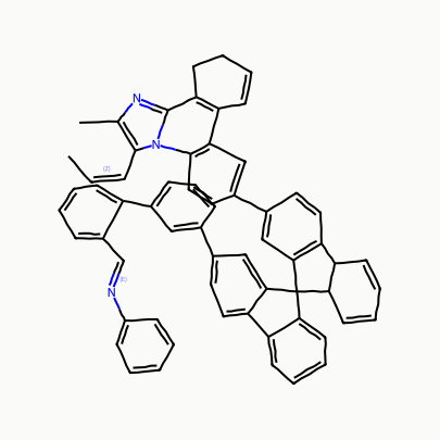 C/C=C\c1c(C)nc2c3c(c4cc(-c5ccc6c(c5)C5(c7ccccc7-c7ccc(-c8cccc(-c9ccccc9/C=N/c9ccccc9)c8)cc75)C5C=CC=CC65)ccc4n12)C=CCC3